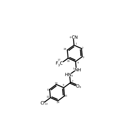 N#Cc1ccc(NNC(=O)c2ccc(Cl)cc2)c(C(F)(F)F)c1